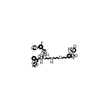 CC(C)S(=O)(=O)n1cc(C(=O)N[C@@H](CCCCNCCCCOCCCc2ccc3c(c2)n(C)c(=O)n3C2CCC(=O)NC2=O)C(=O)Nc2nc(-c3cc(F)cc(N4C[C@@H](C)O[C@@H](C)C4)c3)cs2)c2ccccc21